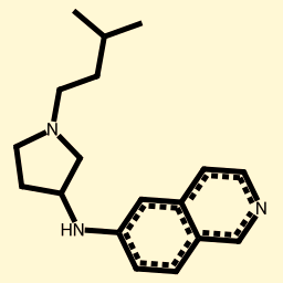 CC(C)CCN1CCC(Nc2ccc3cnccc3c2)C1